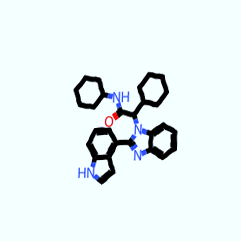 O=C(NC1CCCCC1)C(C1CCCCC1)n1c(-c2cccc3[nH]ccc23)nc2ccccc21